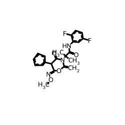 C=C1OC(=NOC)C(c2ccccc2)C(=O)N1C(C)(C)C(=O)Nc1cc(F)ccc1F